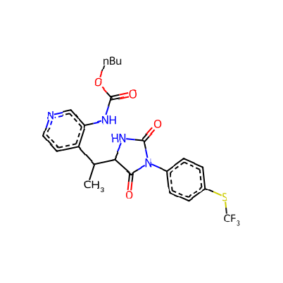 CCCCOC(=O)Nc1cnccc1C(C)C1NC(=O)N(c2ccc(SC(F)(F)F)cc2)C1=O